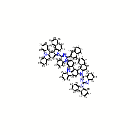 c1ccc2c(-c3ccc4ccc5c(c4c3)c3c4c6ccccc6n6c7ccccc7c(cc3n5-c3nc(-n5c7ccccc7c7ccccc75)nc5ccccc35)c46)cc(-c3nc(-n4c5ccc6ccccc6c5c5c6c7ccccc7n7c8ccccc8c(cc54)c67)c4ccccc4n3)cc2c1